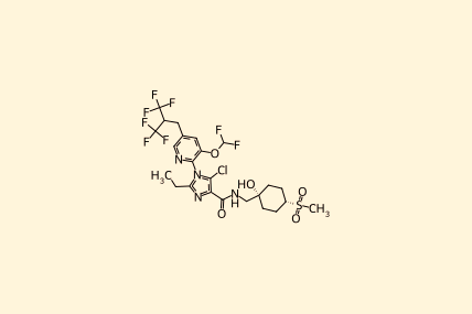 CCc1nc(C(=O)NC[C@]2(O)CC[C@@H](S(C)(=O)=O)CC2)c(Cl)n1-c1ncc(CC(C(F)(F)F)C(F)(F)F)cc1OC(F)F